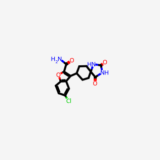 NC(=O)c1oc2ccc(Cl)cc2c1C1CCC2(CC1)NC(=O)NC2=O